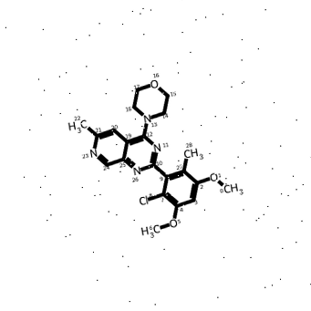 COc1cc(OC)c(Cl)c(-c2nc(N3CCOCC3)c3cc(C)ncc3n2)c1C